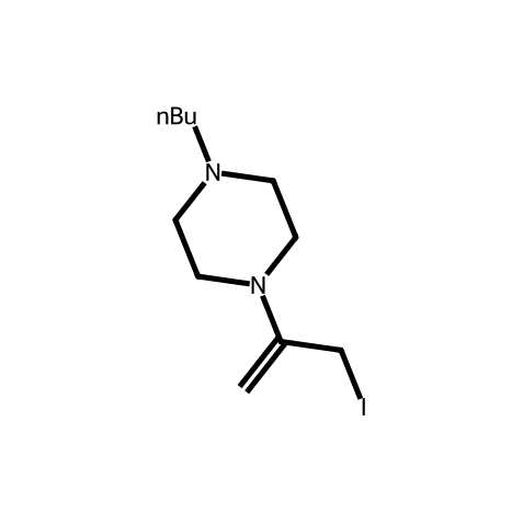 C=C(CI)N1CCN(CCCC)CC1